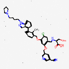 Cc1c(COc2cc(OCc3cncc(C#N)c3)c(CNC(CO)C(=O)O)cc2Cl)cccc1-c1cccc2c1cnn2CCCCN1CCCC1